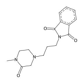 CN1CCN(CCCN2C(=O)c3ccccc3C2=O)CC1=O